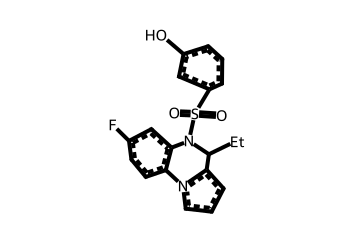 CCC1c2cccn2-c2ccc(F)cc2N1S(=O)(=O)c1cccc(O)c1